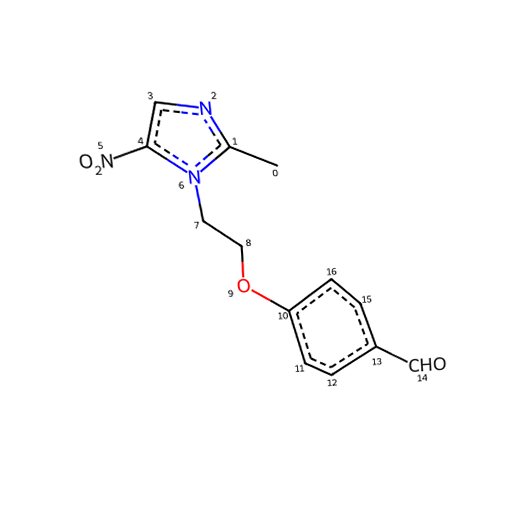 Cc1ncc([N+](=O)[O-])n1CCOc1ccc(C=O)cc1